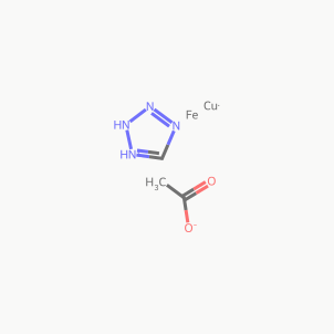 CC(=O)[O-].[Cu].[Fe].c1nn[nH][nH+]1